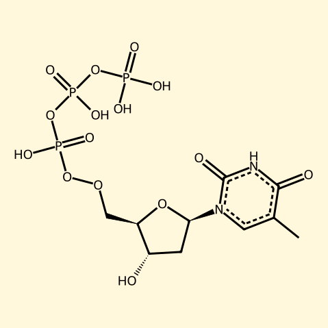 Cc1cn([C@H]2C[C@H](O)[C@@H](COOP(=O)(O)OP(=O)(O)OP(=O)(O)O)O2)c(=O)[nH]c1=O